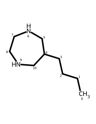 CCCCC1CNCCNC1